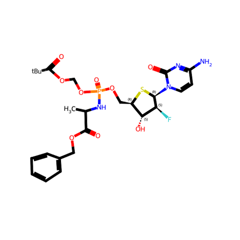 CC(NP(=O)(OCOC(=O)C(C)(C)C)OC[C@H]1S[C@@H](n2ccc(N)nc2=O)[C@@H](F)[C@@H]1O)C(=O)OCc1ccccc1